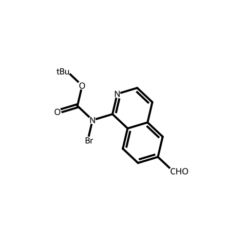 CC(C)(C)OC(=O)N(Br)c1nccc2cc(C=O)ccc12